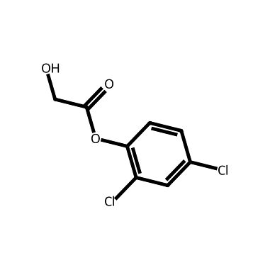 O=C(CO)Oc1ccc(Cl)cc1Cl